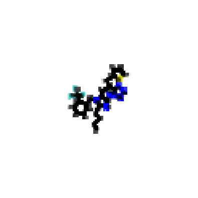 CCCCc1ncc(C=C(Cc2cccs2)c2nnn[nH]2)n1Cc1ccccc1C(F)(F)F